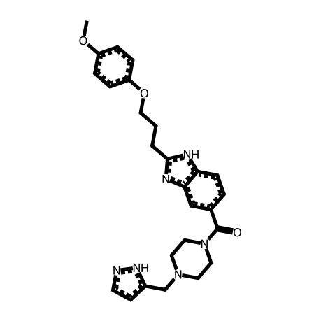 COc1ccc(OCCCc2nc3cc(C(=O)N4CCN(Cc5ccn[nH]5)CC4)ccc3[nH]2)cc1